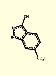 N#Cc1n[nH]c2cc(C(=O)O)ccc12